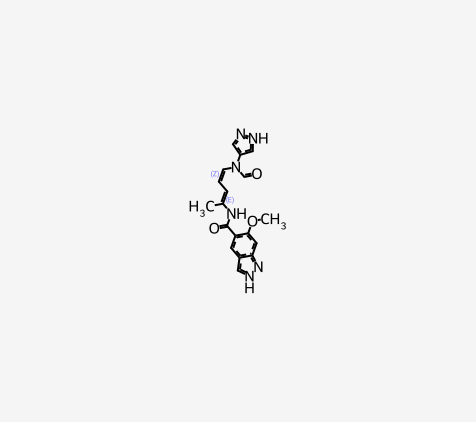 COc1cc2n[nH]cc2cc1C(=O)N/C(C)=C/C=C\N(C=O)c1cn[nH]c1